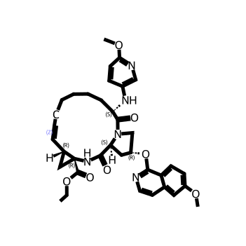 CCOC(=O)[C@@]12C[C@@H]1/C=C\CCCCC[C@H](Nc1ccc(OC)nc1)C(=O)N1C[C@H](Oc3nccc4cc(OC)ccc34)C[C@H]1C(=O)N2